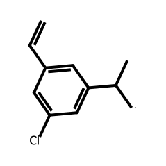 [CH2]C(C)c1cc(Cl)cc(C=C)c1